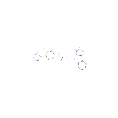 Cc1nn(C)c(C)c1-c1cc(F)c(NC(=O)NCC2c3ccccc3-c3cncn32)cc1Cl